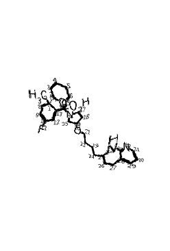 CC1([C@@H]2CCCCO2)CC=C(F)C=C1[C@@H](C(=O)O)N1CC[C@@H](OCCCCC2CCc3cccnc3N2)C1